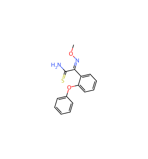 CO/N=C(\C(N)=S)c1ccccc1Oc1ccccc1